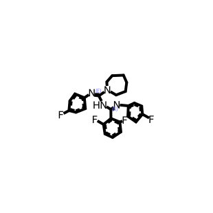 Fc1ccc(/N=C(/N/C(=N\c2ccc(F)cc2)N2CCCCCC2)c2c(F)cccc2F)cc1